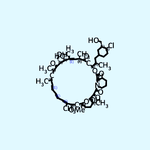 CO[C@H]1C[C@@H]2CC[C@@H](C)[C@@](O)(O2)C(=O)C(=O)N2CCCC[C@H]2C(=O)O[C@H]([C@H](C)CC2CC[C@H](Cl)[C@H](CO)C2)CC(=O)[C@H](C)/C=C(\C)[C@@H](O)[C@@H](CO)C(=O)[C@H](C)C[C@H](C)/C=C/C=C/C=C/1C